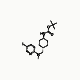 CN(C[C@H]1CC[C@H](NC(=O)OC(C)(C)C)CC1)c1ccc(I)cn1